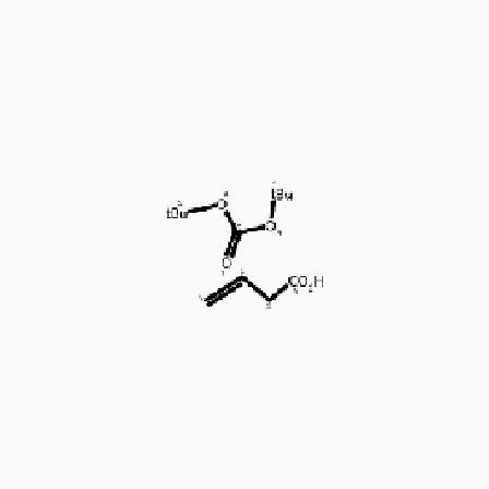 C=CCC(=O)O.CC(C)(C)OC(=O)OC(C)(C)C